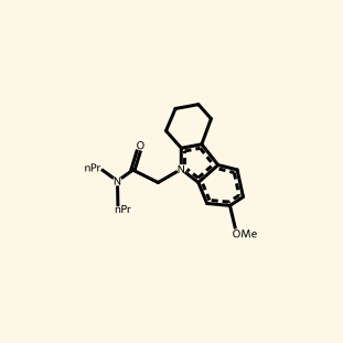 CCCN(CCC)C(=O)Cn1c2c(c3ccc(OC)cc31)CCCC2